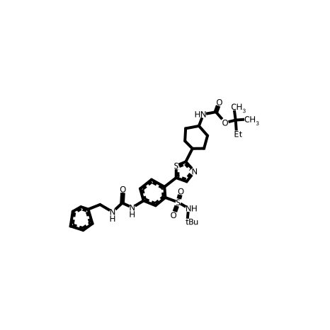 CCC(C)(C)OC(=O)NC1CCC(c2ncc(-c3ccc(NC(=O)NCc4ccccc4)cc3S(=O)(=O)NC(C)(C)C)s2)CC1